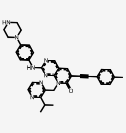 Cc1ccc(C#Cc2cc3cnc(Nc4ccc(N5CCNCC5)cc4)nc3n(Cc3nccnc3C(C)C)c2=O)cc1